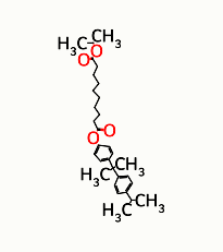 CC(C)OC(=O)CCCCCCCCC(=O)Oc1ccc(C(C)(C)c2ccc(C(C)C)cc2)cc1